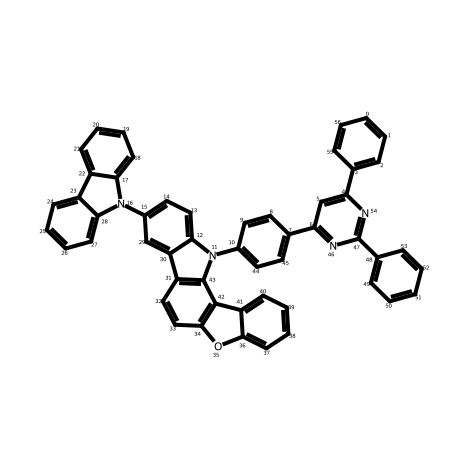 c1ccc(-c2cc(-c3ccc(-n4c5ccc(-n6c7ccccc7c7ccccc76)cc5c5ccc6oc7ccccc7c6c54)cc3)nc(-c3ccccc3)n2)cc1